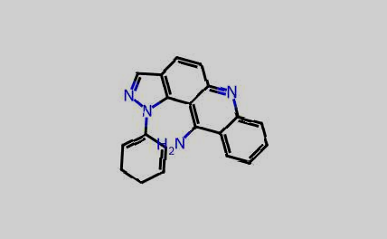 Nc1c2ccccc2nc2ccc3cnn(C4=CCCC=C4)c3c12